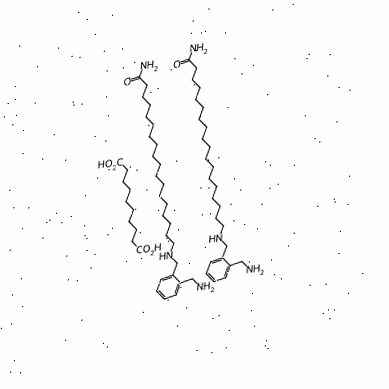 NCc1ccccc1CNCCCCCCCCCCCCCCCCCC(N)=O.NCc1ccccc1CNCCCCCCCCCCCCCCCCCC(N)=O.O=C(O)CCCCCCCCC(=O)O